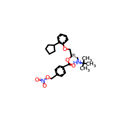 CC(C)(C)NC[C@@H](COc1ccccc1C1CCCC1)OC(=O)c1ccc(CO[N+](=O)[O-])cc1